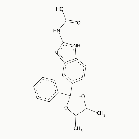 CC1OC(c2ccccc2)(c2ccc3[nH]c(NC(=O)O)nc3c2)OC1C